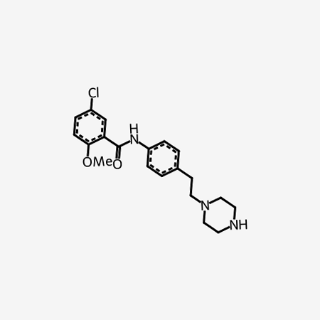 COc1ccc(Cl)cc1C(=O)Nc1ccc(CCN2CCNCC2)cc1